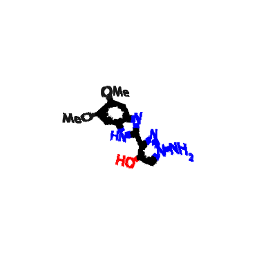 COc1cc2nc(-c3nn(N)cc3O)[nH]c2cc1OC